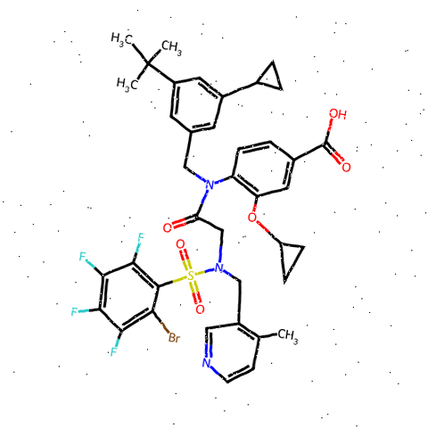 Cc1ccncc1CN(CC(=O)N(Cc1cc(C2CC2)cc(C(C)(C)C)c1)c1ccc(C(=O)O)cc1OC1CC1)S(=O)(=O)c1c(F)c(F)c(F)c(F)c1Br